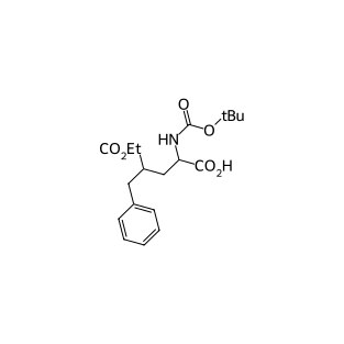 CCOC(=O)C(Cc1ccccc1)CC(NC(=O)OC(C)(C)C)C(=O)O